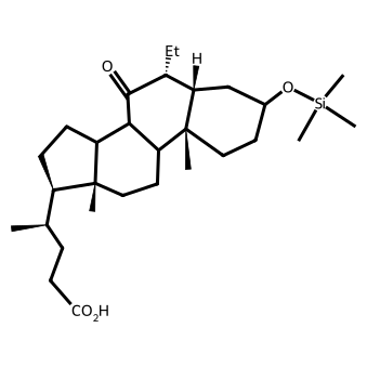 CC[C@H]1C(=O)C2C3CC[C@H]([C@H](C)CCC(=O)O)[C@@]3(C)CCC2[C@@]2(C)CCC(O[Si](C)(C)C)C[C@@H]12